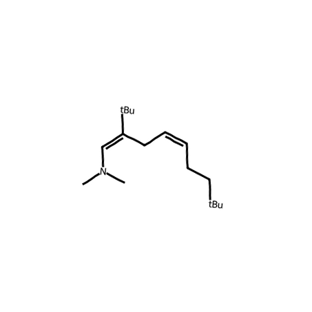 CN(C)/C=C(\C/C=C\CCC(C)(C)C)C(C)(C)C